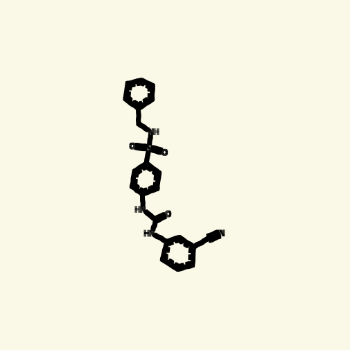 N#Cc1cccc(NC(=O)Nc2ccc(S(=O)(=O)NCc3ccccc3)cc2)c1